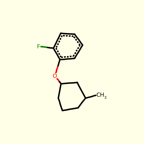 CC1CCCC(Oc2ccccc2F)C1